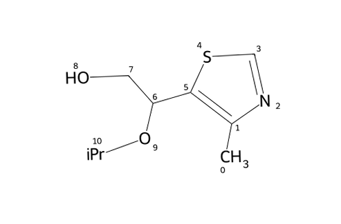 Cc1ncsc1C(CO)OC(C)C